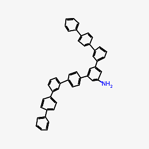 Nc1cc(-c2ccc(-c3cccc(-c4ccc(-c5ccccc5)cc4)c3)cc2)cc(-c2cccc(-c3ccc(-c4ccccc4)cc3)c2)c1